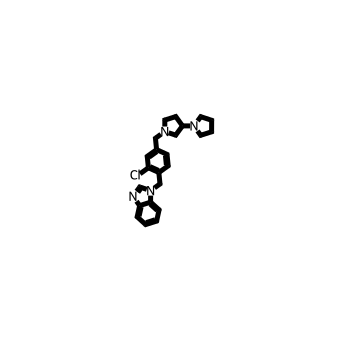 Clc1cc(CN2CCC(N3CCCC3)C2)ccc1Cn1cnc2ccccc21